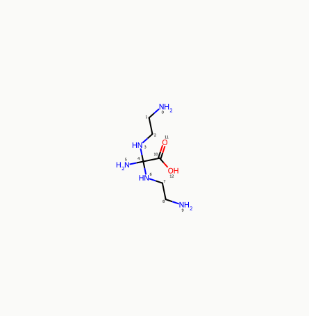 NCCNC(N)(NCCN)C(=O)O